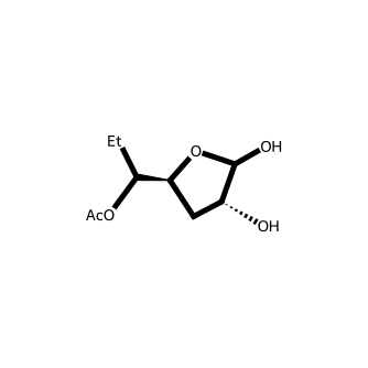 CCC(OC(C)=O)[C@@H]1C[C@@H](O)C(O)O1